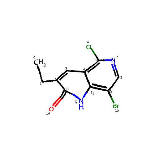 CCc1cc2c(Cl)ncc(Br)c2[nH]c1=O